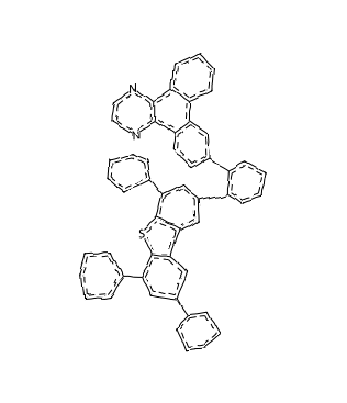 c1ccc(-c2cc(-c3ccccc3)c3sc4c(-c5ccccc5)cc(-c5ccccc5-c5ccc6c(c5)c5ccccc5c5nccnc65)cc4c3c2)cc1